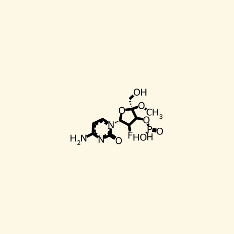 CO[C@]1(CO)O[C@@H](n2ccc(N)nc2=O)C(F)C1O[PH](=O)O